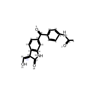 CC(=O)Nc1ccc(C(=O)c2ccc3c(c2)NC(=O)/C3=C\O)cc1